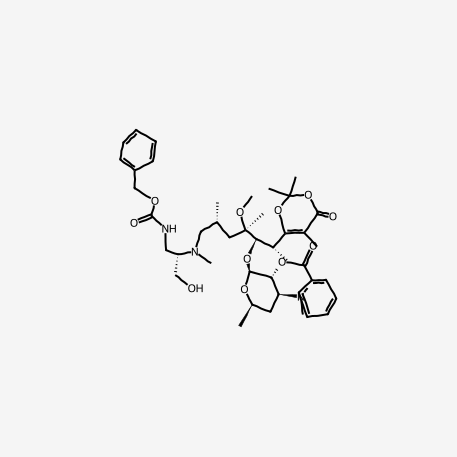 CO[C@](C)(C[C@@H](C)CN(C)[C@H](CO)CNC(=O)OCc1ccccc1)[C@H](O[C@@H]1O[C@H](C)C[C@H](N(C)C)[C@H]1OC(=O)c1ccccc1)[C@@H](C)C1=C(C)C(=O)OC(C)(C)O1